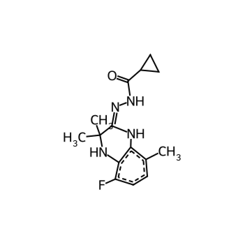 Cc1ccc(F)c2c1N/C(=N\NC(=O)C1CC1)C(C)(C)N2